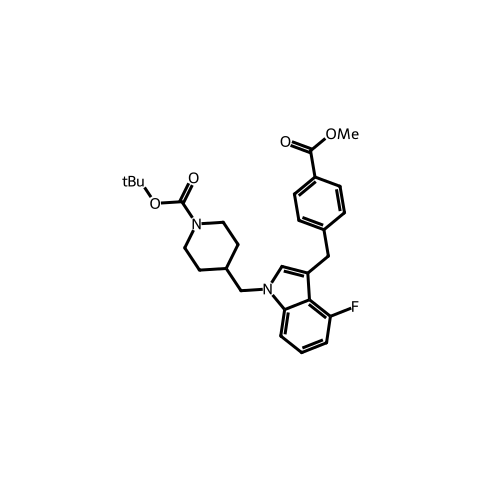 COC(=O)c1ccc(Cc2cn(CC3CCN(C(=O)OC(C)(C)C)CC3)c3cccc(F)c23)cc1